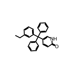 CCc1cccc(C(c2ccccc2)(c2ccccc2)c2ccc(=O)[nH]c2)c1